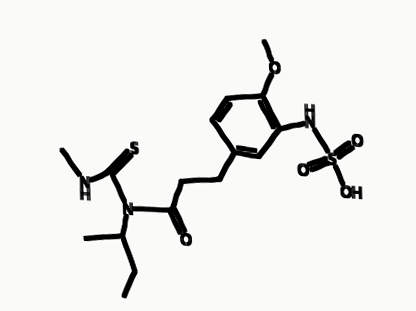 CCC(C)N(C(=O)CCc1ccc(OC)c(NS(=O)(=O)O)c1)C(=S)NC